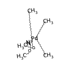 CCCCCCCCCCCCCCCCCCCCCCCCC=CCCc1ccccc1C(=C(C=C=[N+]=[N-])CCCC)c1ccc(CCCC)cc1.CCCCCCCCCCCCCC[CH2][Pd][CH2]CCCCCCCCCCCCCC